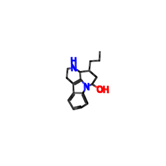 CCCC1CC(O)n2c3c(c4ccccc42)CCNC31